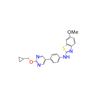 COc1ccc2nc(Nc3ccc(-c4cnc(OCC5CC5)nc4)cc3)sc2c1